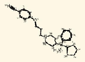 N#Cc1ccc(OCCCN2CCC([C@@](N)(c3ccccc3)C3CCCC3)CC2)cc1